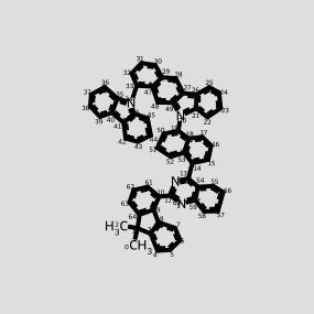 CC1(C)c2ccccc2-c2c(-c3nc(-c4cccc5c(-n6c7ccccc7c7cc8cccc(-n9c%10ccccc%10c%10ccccc%109)c8cc76)cccc45)c4ccccc4n3)cccc21